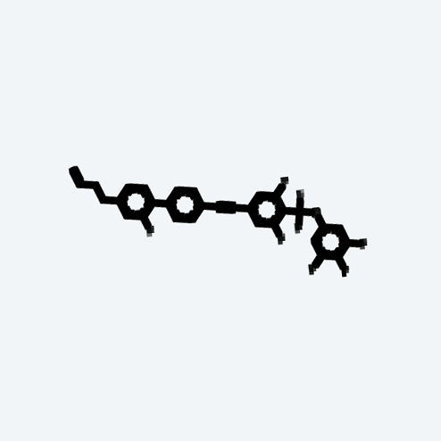 C=CCCc1ccc(-c2ccc(C#Cc3cc(F)c(C(F)(F)Oc4cc(F)c(F)c(F)c4)c(F)c3)cc2)c(F)c1